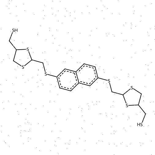 SCC1CSC(CSc2ccc3cc(SCC4SCC(CS)S4)ccc3c2)S1